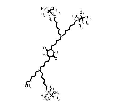 CCCCCCN(CCCCCO[Si](C)(C)C(C)(C)C)CCCCC1NC(=O)C(CCCCN(CCCCCO[Si](C)(C)C(C)(C)C)CCCCCO[Si](C)(C)C(C)(C)C)NC1=O